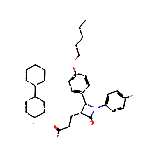 C1CCC(C2CCCCC2)CC1.CCCCCOc1ccc(C2C(CCC(=O)O)C(=O)N2c2ccc(F)cc2)cc1.N